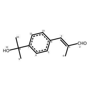 C/C(C=O)=C\c1ccc(C(C)(C)O)cc1